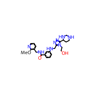 COc1ncccc1CNC(=O)c1cccc(NCc2nnc(C3CCNCN3)n2CCO)c1